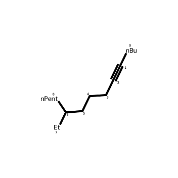 [CH2]CCCC#CCCCC(CC)CCCC[CH2]